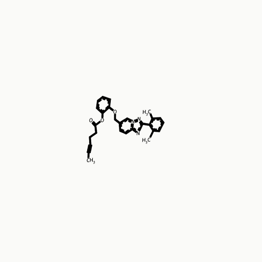 CC#CCCC(=O)Oc1ccccc1OCc1ccc2nc(-c3c(C)cccc3C)nn2c1